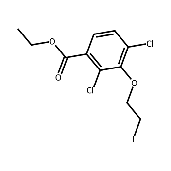 CCOC(=O)c1ccc(Cl)c(OCCI)c1Cl